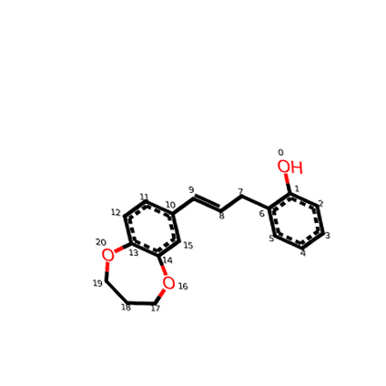 Oc1ccccc1CC=Cc1ccc2c(c1)OCCCO2